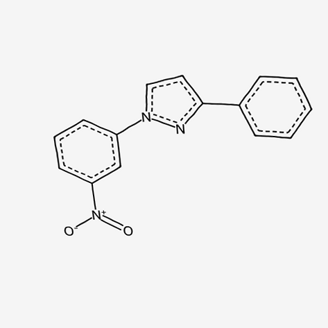 O=[N+]([O-])c1cccc(-n2ccc(-c3ccccc3)n2)c1